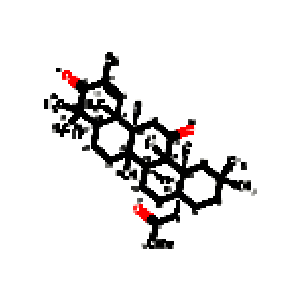 COC(=O)C[C@@]12CCC(C)(C)C[C@@H]1[C@H]1C(=O)C[C@@H]3[C@@]4(C)C=C(C#N)C(=O)C(C)(C)[C@@H]4CC[C@@]3(C)[C@]1(C)CC2